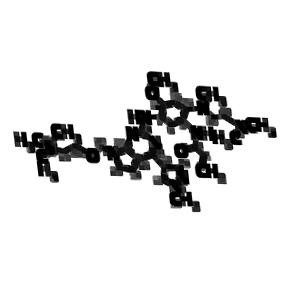 C=CC(=O)Nc1cc(Nc2nc(-c3cnn(C)c3)c3ccn(COCC[Si](C)(C)C)c3n2)c(OC)cc1N(C)CCN(C)C